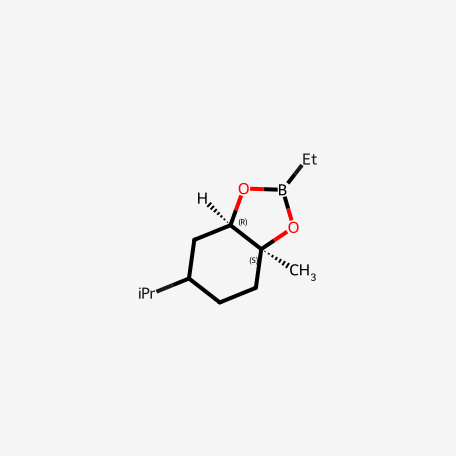 CCB1O[C@@H]2CC(C(C)C)CC[C@]2(C)O1